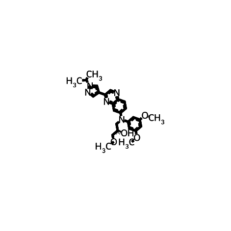 COC[C@H](O)CN(c1cc(OC)cc(OC)c1)c1ccc2ncc(-c3cnn(C(C)C)c3)nc2c1